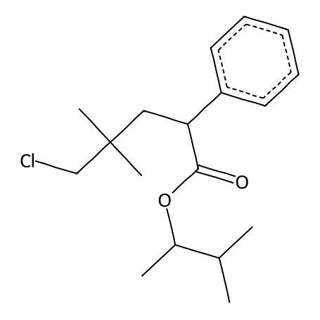 CC(C)C(C)OC(=O)C(CC(C)(C)CCl)c1ccccc1